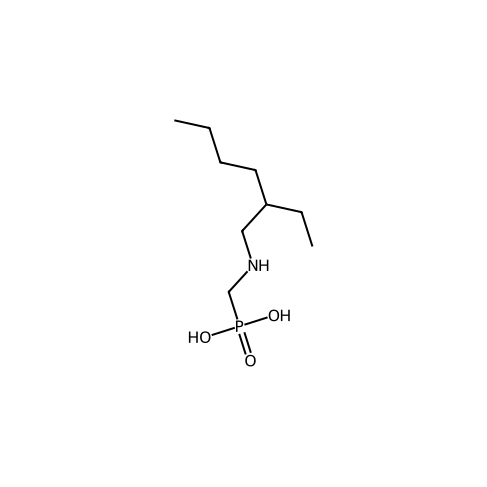 CCCCC(CC)CNCP(=O)(O)O